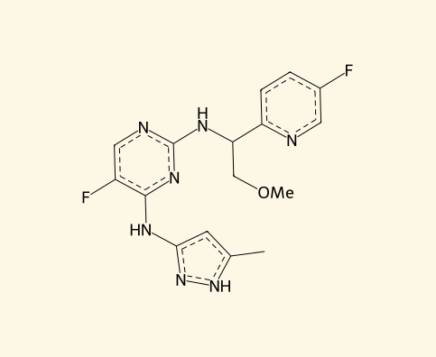 COCC(Nc1ncc(F)c(Nc2cc(C)[nH]n2)n1)c1ccc(F)cn1